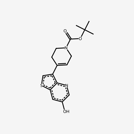 CC(C)(C)OC(=O)N1CC=C(c2csc3cc(O)cnc23)CC1